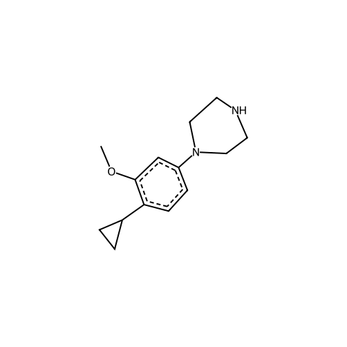 COc1cc(N2CCNCC2)ccc1C1CC1